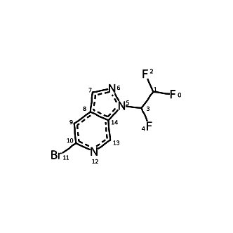 FC(F)C(F)n1ncc2cc(Br)ncc21